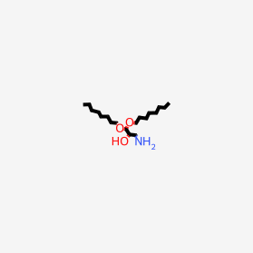 CCCCCCCCOC(OCCCCCCCC)C(O)CN